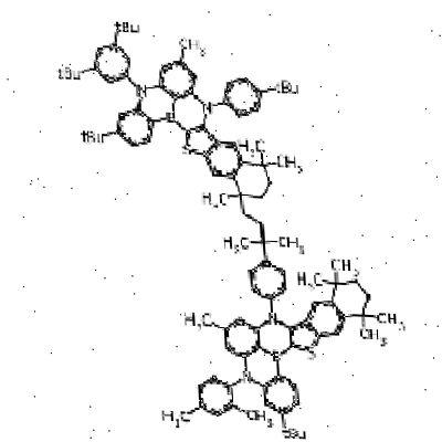 Cc1ccc(N2c3cc(C(C)(C)C)ccc3B3c4sc5cc6c(cc5c4N(c4ccc(C(C)(C)CCC5(C)CCC(C)(C)c7cc8c9c(sc8cc75)B5c7ccc(C(C)(C)C)cc7N(c7cc(C(C)(C)C)cc(C(C)(C)C)c7)c7cc(C)cc(c75)N9c5ccc(C(C)(C)C)cc5)cc4)c4cc(C)cc2c43)C(C)(C)CCC6(C)C)c(C)c1